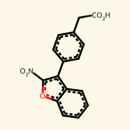 O=C(O)Cc1ccc(-c2c([N+](=O)[O-])oc3ccccc23)cc1